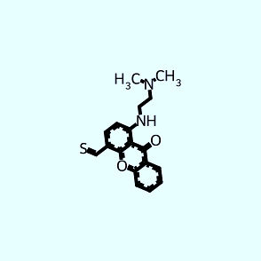 CN(C)CCNc1ccc(C=S)c2oc3ccccc3c(=O)c12